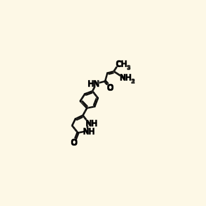 C/C(N)=C/C(=O)Nc1ccc(C2=CCC(=O)NN2)cc1